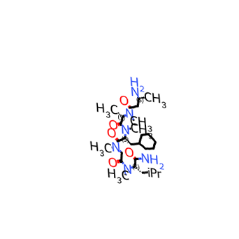 CC(C)C[C@@H](C(N)=O)N(C)C(=O)CN(C)C(=O)[C@H](CC1CCCCC1)N(C)C(=O)[C@H](C)N(C)C(=O)C[C@H](C)N